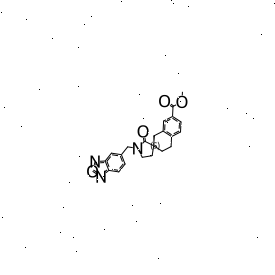 COC(=O)c1ccc2c(c1)C[C@@]1(CC2)CCN(Cc2ccc3nonc3c2)C1=O